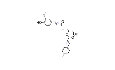 COc1cc(/C=C/C(=O)OCC(CO)OC(=O)/C=C/c2ccc(C)cc2)ccc1O